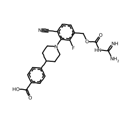 N#Cc1ccc(COC(=O)NC(=N)N)c(F)c1N1CCC(c2ccc(C(=O)O)cc2)CC1